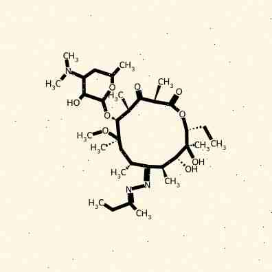 CC/C(C)=N/N=C1\[C@H](C)C[C@@](C)(OC)[C@H](OC2OC(C)CC(N(C)C)C2O)[C@@H](C)C(=O)[C@@H](C)C(=O)O[C@H](CC)[C@@](C)(O)[C@H](O)[C@H]1C